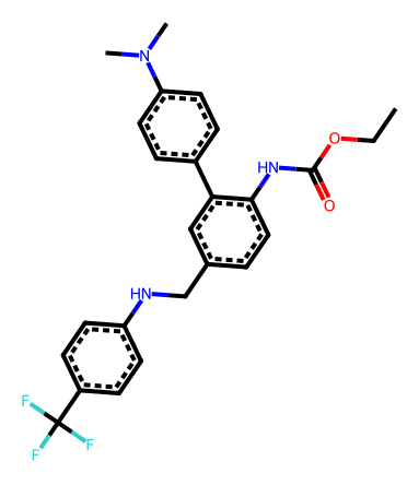 CCOC(=O)Nc1ccc(CNc2ccc(C(F)(F)F)cc2)cc1-c1ccc(N(C)C)cc1